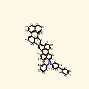 C1=CC(C(Cc2ccc(-c3ccc(-c4ccccc4N(c4ccc(-c5ccccc5)cc4)c4ccc(-c5ccccc5)cc4)cc3)cc2)c2cccc3ccccc23)CCC1